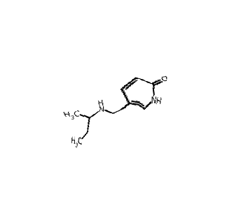 CCC(C)NCc1ccc(=O)[nH]c1